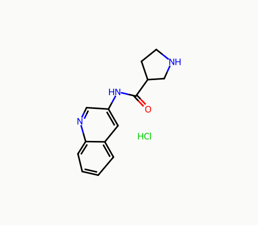 Cl.O=C(Nc1cnc2ccccc2c1)C1CCNC1